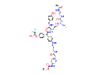 CCC(=O)NCCNC(=O)/N=C(/N)NCCC[C@@H](NC(=O)C(c1ccccc1)c1ccc(NCCCNC(=O)CN2CCC(NC(=O)OC(C)(C)C)CC2)cc1)C(=O)NCc1ccc(O)cc1.O=C(O)C(F)(F)F